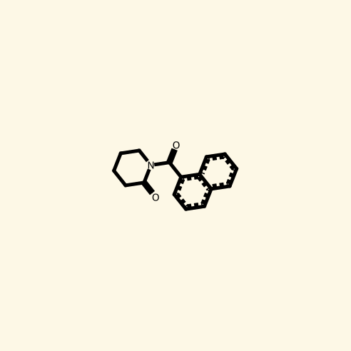 O=C1CCCCN1C(=O)c1cccc2ccccc12